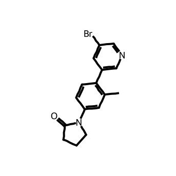 Cc1cc(N2CCCC2=O)ccc1-c1cncc(Br)c1